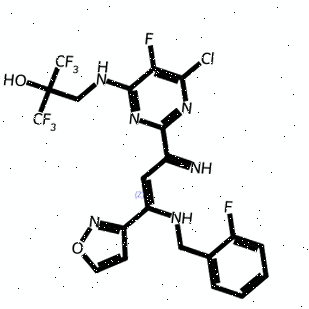 N=C(/C=C(\NCc1ccccc1F)c1ccon1)c1nc(Cl)c(F)c(NCC(O)(C(F)(F)F)C(F)(F)F)n1